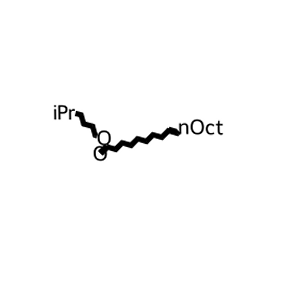 CCCCCCCCC=CCCCCCCCC(=O)OCCCCC(C)C